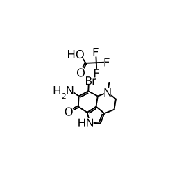 CN1CCc2c[nH]c3c2C1C(Br)=C(N)C3=O.O=C(O)C(F)(F)F